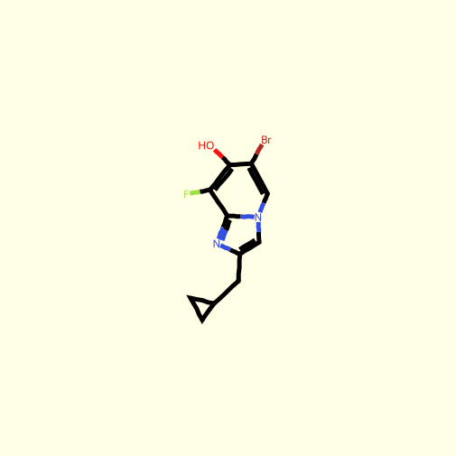 Oc1c(Br)cn2cc(CC3CC3)nc2c1F